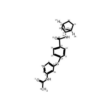 CC(=O)Nc1cncc(Sc2ccc(C(=O)N[C@@H]3C[C@H]4CC[C@@H]3N4)cc2)c1